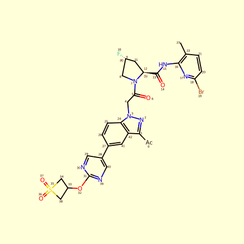 CC(=O)c1nn(CC(=O)N2C[C@H](F)C[C@H]2C(=O)Nc2nc(Br)ccc2C)c2ccc(-c3cnc(OC4CS(=O)(=O)C4)nc3)cc12